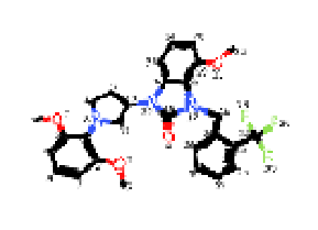 COc1cccc(OC)c1N1CC[C@@H](n2c(=O)n(Cc3ccccc3C(F)(F)F)c3c(OC)cccc32)C1